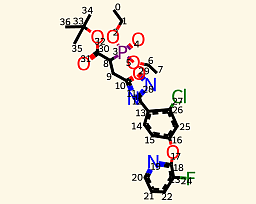 CCOP(=O)(OCC)C(Cc1nc(-c2ccc(Oc3ncccc3F)cc2Cl)no1)C(=O)OC(C)(C)C